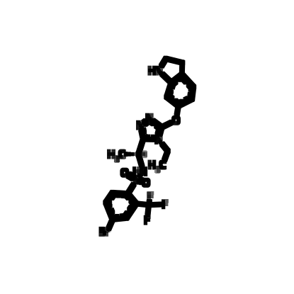 CCn1c(Oc2ccc3c(c2)NCC3)nnc1[C@@H](C)NS(=O)(=O)c1ccc(Br)cc1C(F)(F)F